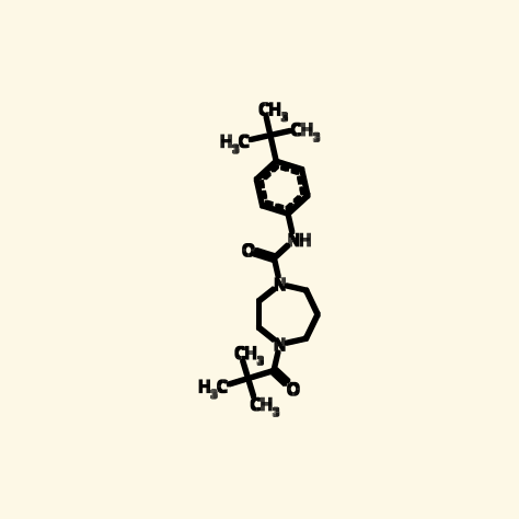 CC(C)(C)C(=O)N1CCCN(C(=O)Nc2ccc(C(C)(C)C)cc2)CC1